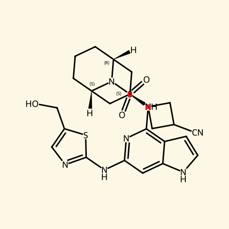 N#CC1CN(S(=O)(=O)N2[C@@H]3CCC[C@H]2C[C@H](Nc2nc(Nc4ncc(CO)s4)cc4[nH]ccc24)C3)C1